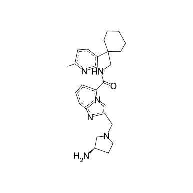 Cc1ccc(C2(CNC(=O)c3cccc4nc(CN5CC[C@@H](N)C5)cn34)CCCCC2)cn1